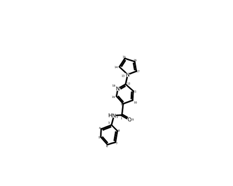 O=C(Nc1ccccc1)c1ccc(-n2cccc2)nc1